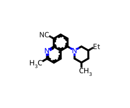 CCC1CC(C)CN(c2ccc(C#N)c3nc(C)ccc23)C1